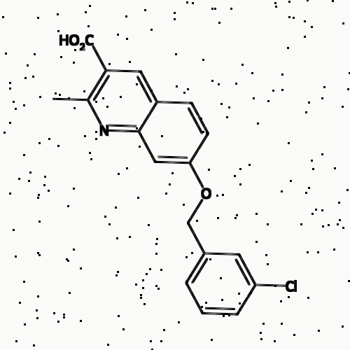 Cc1nc2cc(OCc3cccc(Cl)c3)ccc2cc1C(=O)O